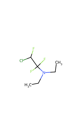 CCN(CC)C(F)(F)C(F)Cl